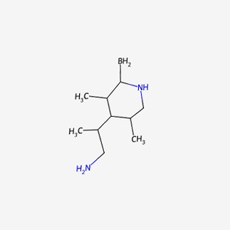 BC1NCC(C)C(C(C)CN)C1C